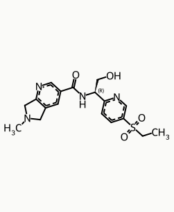 CCS(=O)(=O)c1ccc([C@H](CO)NC(=O)c2cnc3c(c2)CN(C)C3)nc1